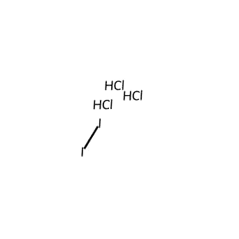 Cl.Cl.Cl.II